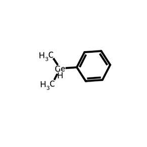 [CH3][GeH]([CH3])[c]1ccccc1